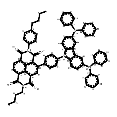 CCCCc1ccc(N2C(=O)c3ccc4c5c(cc(-c6ccc(-n7c8ccc(N(c9ccccc9)c9ccccc9)cc8c8cc(N(c9ccccc9)c9ccccc9)ccc87)cc6)c(c35)C2=O)C(=O)N(CCCC)C4=O)cc1